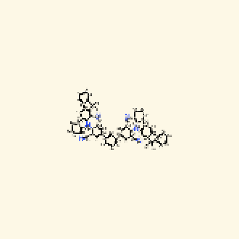 CC1(C)c2ccccc2-c2cc3c4ccccc4n(-c4c(C#N)cc(-c5cccc(-c6cc(C#N)c(-n7c8ccccc8c8cc9c(cc87)C(C)(C)c7ccccc7-9)c(C#N)c6)c5)cc4C#N)c3cc21